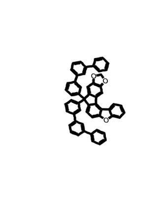 c1ccc(-c2cccc(-c3cccc(C4(c5cccc(-c6cccc(-c7ccccc7)c6)c5)c5cc6c(cc5-c5c4ccc4oc7ccccc7c54)OCO6)c3)c2)cc1